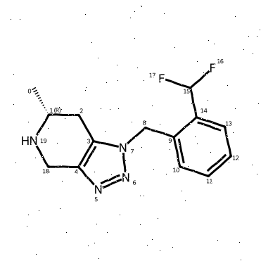 C[C@@H]1Cc2c(nnn2Cc2ccccc2C(F)F)CN1